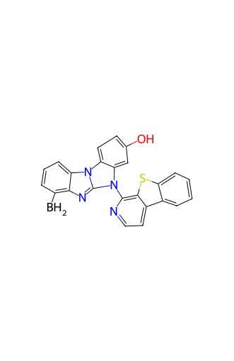 Bc1cccc2c1nc1n(-c3nccc4c3sc3ccccc34)c3cc(O)ccc3n21